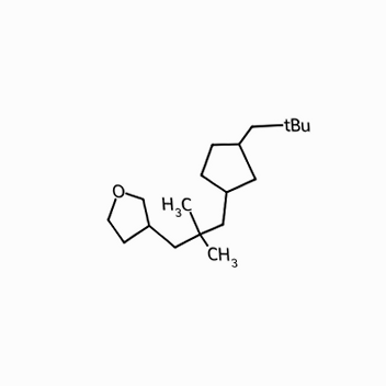 CC(C)(C)CC1CCC(CC(C)(C)CC2CCOC2)C1